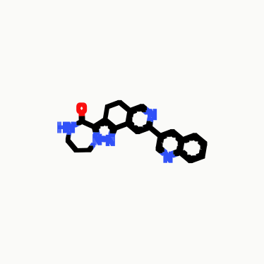 O=C1NCCCn2nc3c(c21)CCc1cnc(-c2cnc4ccccc4c2)cc1-3